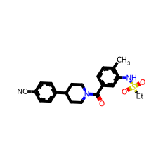 CCS(=O)(=O)Nc1cc(C(=O)N2CCC(c3ccc(C#N)cc3)CC2)ccc1C